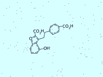 O=C(O)c1ccc(CCc2c(C(=O)O)oc3cccc(O)c23)cc1